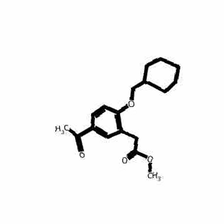 COC(=O)Cc1cc(C(C)=O)ccc1OCC1CCCCC1